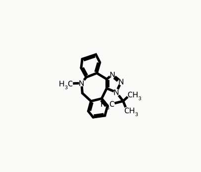 CN1Cc2ccccc2-c2c(nnn2C(C)(C)C)-c2ccccc21